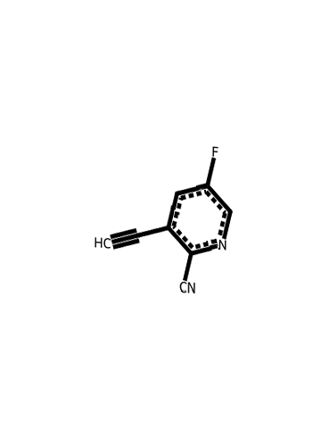 C#Cc1cc(F)cnc1C#N